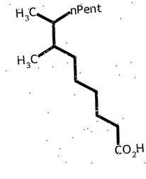 CCCCCC(C)C(C)CCCCCC(=O)O